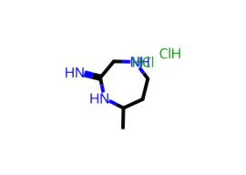 CC1CCNCC(=N)N1.Cl.Cl